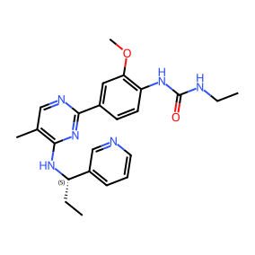 CCNC(=O)Nc1ccc(-c2ncc(C)c(N[C@@H](CC)c3cccnc3)n2)cc1OC